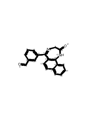 O=Cc1cccc(C2=NCC(=O)Nc3c2ccc2ccccc32)c1